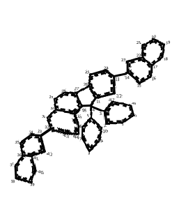 c1ccc(C2(c3ccccc3)c3cc(-c4ccc5ccccc5c4)ccc3-c3ccc4cc(-c5ccc6ccccc6c5)ccc4c32)cc1